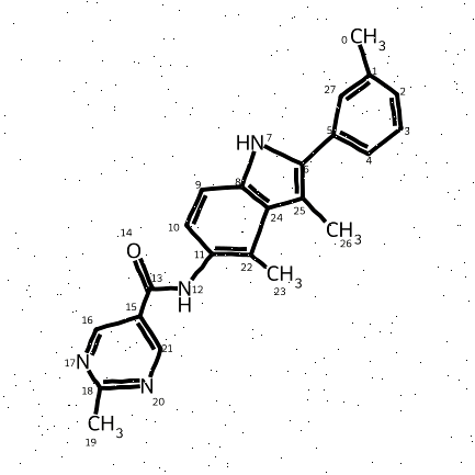 Cc1cccc(-c2[nH]c3ccc(NC(=O)c4cnc(C)nc4)c(C)c3c2C)c1